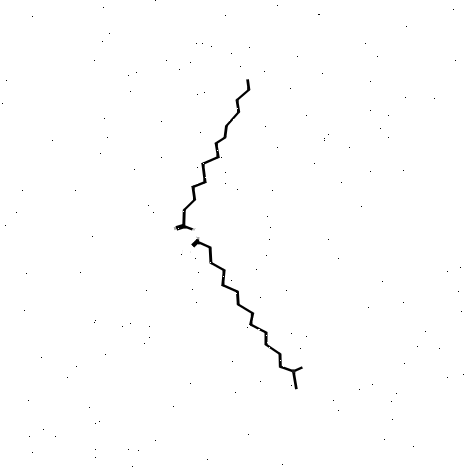 CCCCCCCCCCCCCC(=O)OC(=O)CCCCCCCCCCCCC(C)C